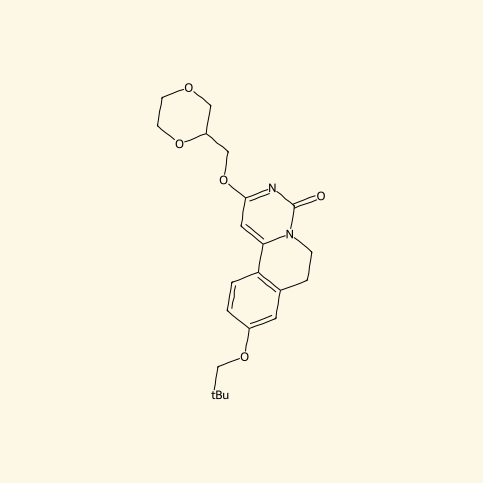 CC(C)(C)COc1ccc2c(c1)CCn1c-2cc(OCC2COCCO2)nc1=O